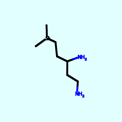 C[Si](C)CCC(N)CCN